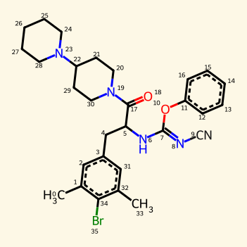 Cc1cc(CC(NC(=NC#N)Oc2ccccc2)C(=O)N2CCC(N3CCCCC3)CC2)cc(C)c1Br